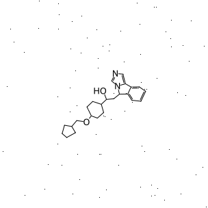 OC(CC1c2ccccc2-c2cncn21)C1CCC(OCC2CCCC2)CC1